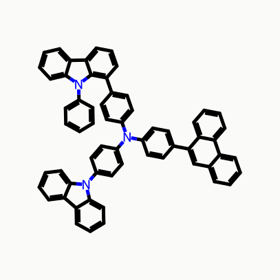 c1ccc(-n2c3ccccc3c3cccc(-c4ccc(N(c5ccc(-c6cc7ccccc7c7ccccc67)cc5)c5ccc(-n6c7ccccc7c7ccccc76)cc5)cc4)c32)cc1